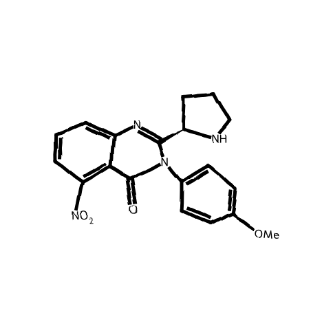 COc1ccc(-n2c([C@H]3CCCN3)nc3cccc([N+](=O)[O-])c3c2=O)cc1